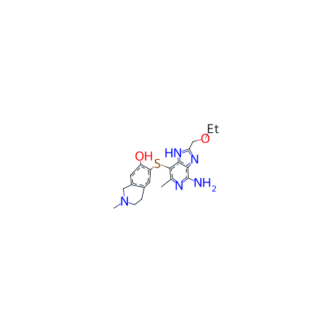 CCOCc1nc2c(N)nc(C)c(Sc3cc4c(cc3O)CN(C)CC4)c2[nH]1